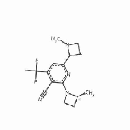 C[C@H]1CCN1c1nc(C2[CH]CN2C)cc(C(F)(F)F)c1C#N